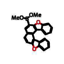 COB(OC)c1cc2ccc3oc4ccccc4c3c2c2c1oc1ccccc12